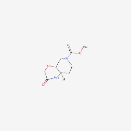 CC(C)(C)OC(=O)N1CC[C@H]2NC(=O)COC2C1